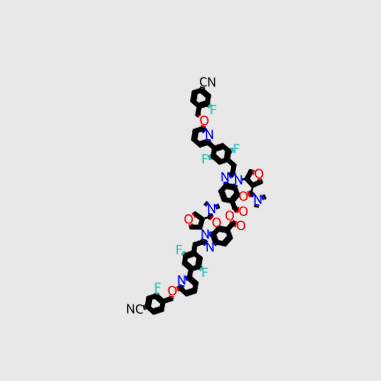 CN(C)C(=O)[C@@H]1COC[C@@H]1n1c(Cc2cc(F)c(-c3cccc(OCc4ccc(C#N)cc4F)n3)cc2F)nc2ccc(C(=O)OC(=O)c3ccc4nc(Cc5cc(F)c(-c6cccc(OCc7ccc(C#N)cc7F)n6)cc5F)n([C@H]5COC[C@H]5C(=O)N(C)C)c4c3)cc21